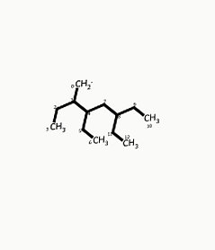 [CH2]C(CC)C(CC)CC(CC)CC